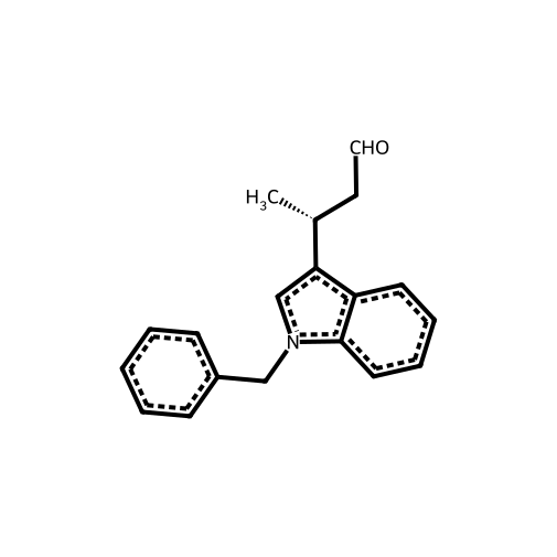 C[C@H](CC=O)c1cn(Cc2ccccc2)c2ccccc12